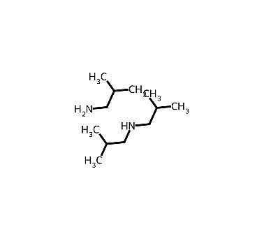 CC(C)CN.CC(C)CNCC(C)C